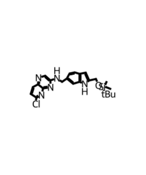 CC(C)(C)[Si](C)(C)OCc1cc2ccc(CNc3cnc4ccc(Cl)nc4n3)cc2[nH]1